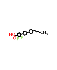 CCCCCC1CCC(C2CCC(c3ccc(C(=O)O)c(F)c3F)CC2)CC1